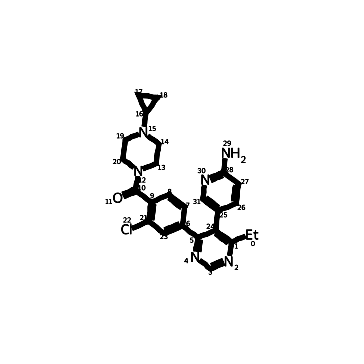 CCc1ncnc(-c2ccc(C(=O)N3CCN(C4CC4)CC3)c(Cl)c2)c1-c1ccc(N)nc1